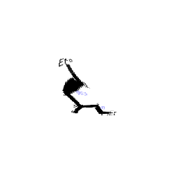 CC/C=C/[C](C)/C=C/CC